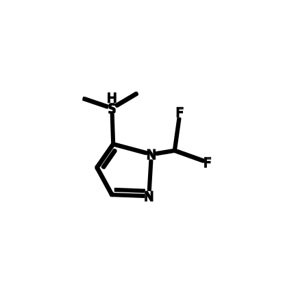 C[SH](C)c1ccnn1C(F)F